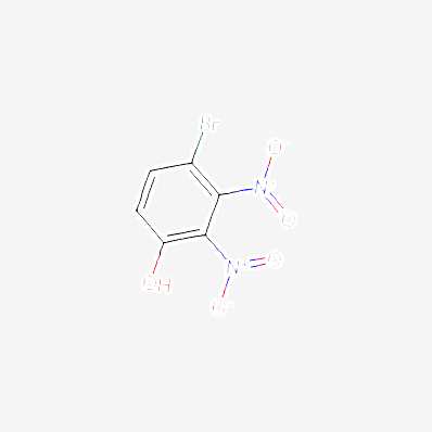 O=[N+]([O-])c1c(O)ccc(Br)c1[N+](=O)[O-]